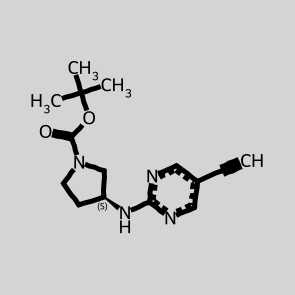 C#Cc1cnc(N[C@H]2CCN(C(=O)OC(C)(C)C)C2)nc1